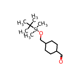 CC(C)(C)[Si](C)(C)OCC1CCC(C=O)CC1